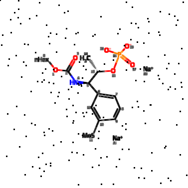 CCCCCCOC(=O)N[C@H](c1cccc(SC)c1)[C@H](C)OP(=O)([O-])[O-].[Na+].[Na+]